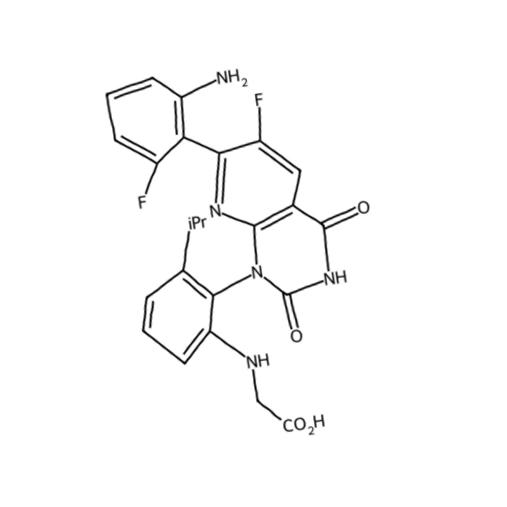 CC(C)c1cccc(NCC(=O)O)c1-n1c(=O)[nH]c(=O)c2cc(F)c(-c3c(N)cccc3F)nc21